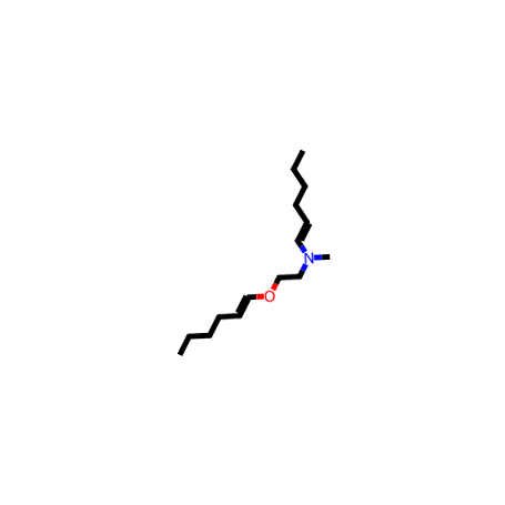 CCCCC=COCCN(C)C=CCCCC